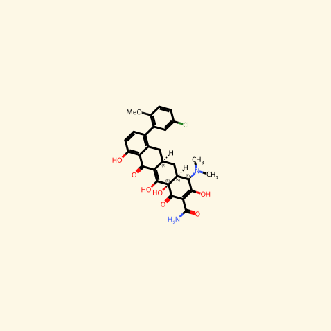 COc1ccc(Cl)cc1-c1ccc(O)c2c1C[C@H]1C[C@H]3[C@@H](N(C)C)C(O)=C(C(N)=O)C(=O)[C@]3(O)C(O)=C1C2=O